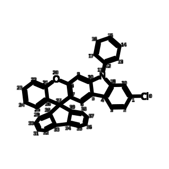 Clc1ccc2c3cc4c(cc3n(-c3ccccc3)c2c1)Oc1ccccc1C41c2ccccc2-c2ccccc21